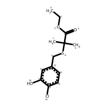 CCOC(=O)C(C)(C)SCc1ccc(Cl)c(O)c1